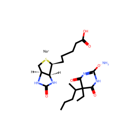 CCCC(C)C1(CC)C(=O)N=C([O-])NC1=O.N.O=C(O)CCCC[C@@H]1SC[C@@H]2NC(=O)N[C@@H]21.[Na+]